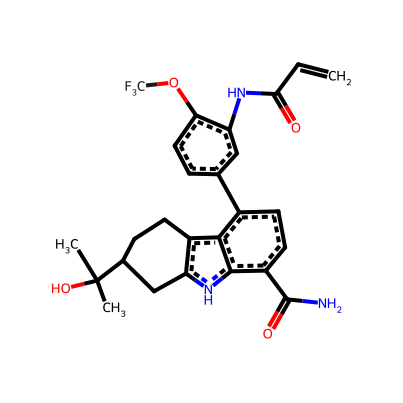 C=CC(=O)Nc1cc(-c2ccc(C(N)=O)c3[nH]c4c(c23)CCC(C(C)(C)O)C4)ccc1OC(F)(F)F